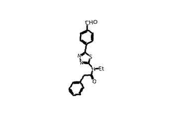 CCN(C(=O)Cc1ccccc1)c1nnc(-c2ccc(C=O)cc2)s1